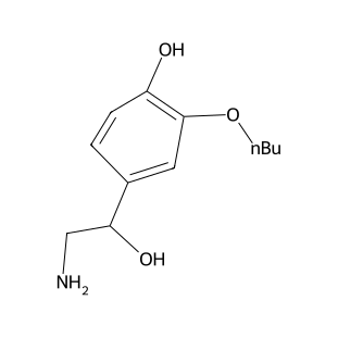 CCCCOc1cc(C(O)CN)ccc1O